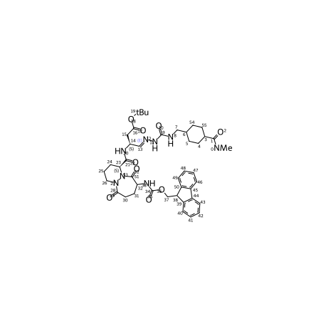 CNC(=O)C1CCC(CNC(=O)N/N=C/[C@H](CC(=O)OC(C)(C)C)NC(=O)[C@@H]2CCCN3C(=O)CCC(NC(=O)OCC4c5ccccc5-c5ccccc54)C(=O)N23)CC1